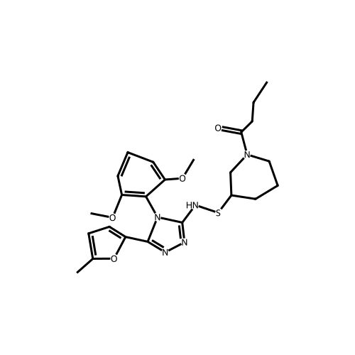 CCCC(=O)N1CCCC(SNc2nnc(-c3ccc(C)o3)n2-c2c(OC)cccc2OC)C1